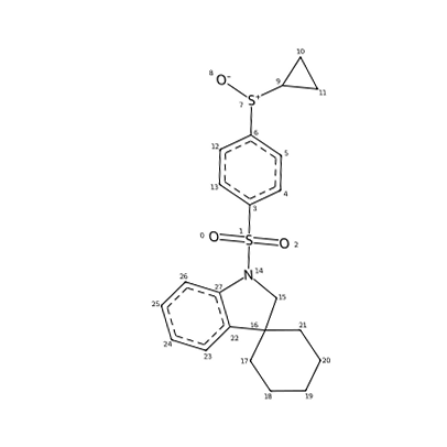 O=S(=O)(c1ccc([S+]([O-])C2CC2)cc1)N1CC2(CCCCC2)c2ccccc21